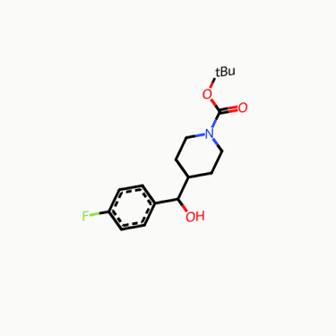 CC(C)(C)OC(=O)N1CCC(C(O)c2ccc(F)cc2)CC1